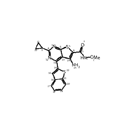 CONC(=O)c1sc2nc(C3CC3)nc(-c3cc4ccccc4s3)c2c1N